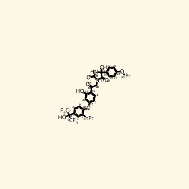 CCCc1cc(C(O)(C(F)(F)F)C(F)(F)F)ccc1Oc1ccc(C(=O)CN2C(=O)NC(C)(c3ccc(OC(C)C)cc3)C2=O)c(O)c1